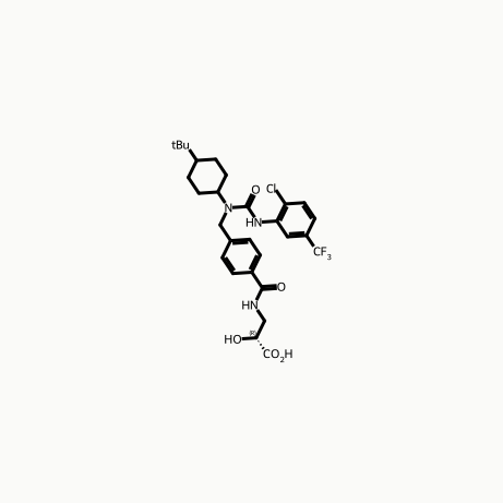 CC(C)(C)C1CCC(N(Cc2ccc(C(=O)NC[C@@H](O)C(=O)O)cc2)C(=O)Nc2cc(C(F)(F)F)ccc2Cl)CC1